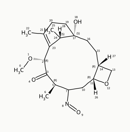 CO[C@H]1C(=O)[C@H](C)C(N=O)C[C@H]2OC[C@H]2CC[C@]2(O)CCC(C)=C1[C@@H]2C